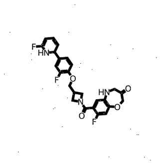 O=C1CNc2cc(C(=O)N3CC(COc4ccc(C5C=CC=C(F)N5)cc4F)C3)c(F)cc2OC1